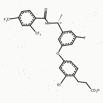 CCc1cc(Oc2cc(F)cc([C@@H](C)NC(=O)c3ccc(C(F)(F)F)cc3C(F)(F)F)c2)ccc1CCC(=O)O